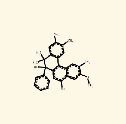 COc1cc2c(O)cc3c(c2cc1C)-c1cc(C)c(C)cc1C(C)(C)C3(O)c1ccccc1